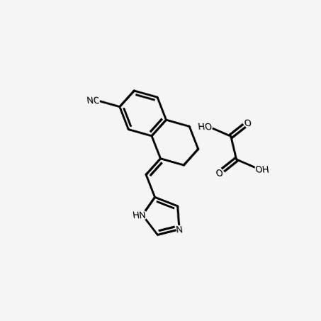 N#Cc1ccc2c(c1)C(=Cc1cnc[nH]1)CCC2.O=C(O)C(=O)O